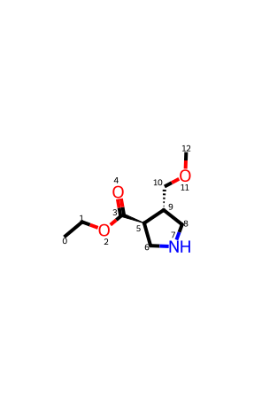 CCOC(=O)[C@@H]1CNC[C@H]1COC